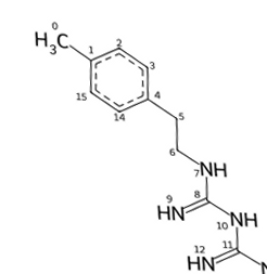 Cc1ccc(CCNC(=N)NC(=N)N)cc1